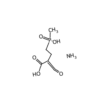 CP(=O)(O)CCC(=C=O)C(=O)O.N